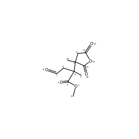 COC(=O)C(C)(CC=O)C1(C)CC(=O)OC1=O